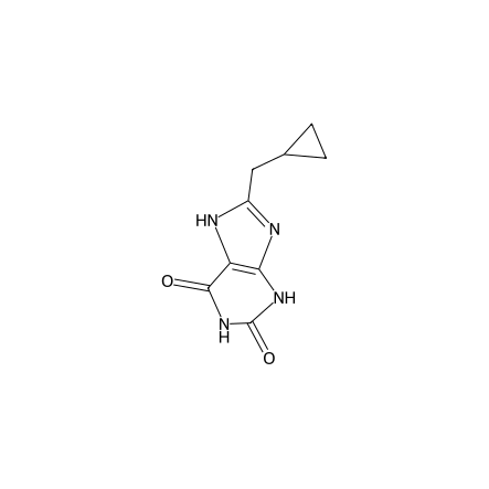 O=c1[nH]c(=O)c2[nH]c(CC3CC3)nc2[nH]1